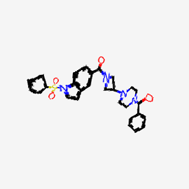 O=C(c1ccccc1)N1CCN(C2CN(C(=O)c3ccc4c(ccn4S(=O)(=O)c4ccccc4)c3)C2)CC1